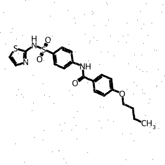 CCCCOc1ccc(C(=O)Nc2ccc(S(=O)(=O)Nc3nccs3)cc2)cc1